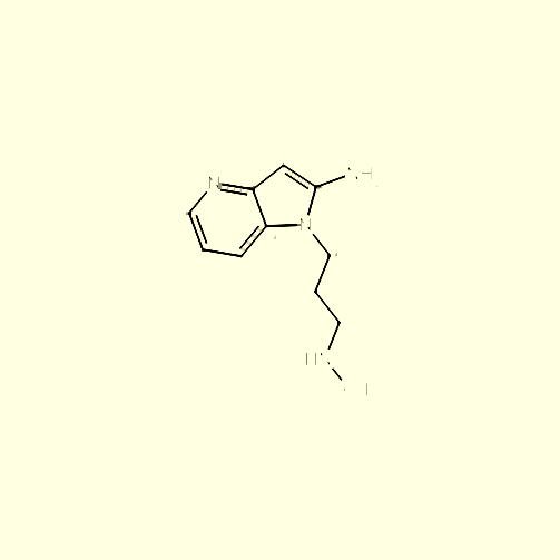 CNCCCn1c(N)cc2ncccc21